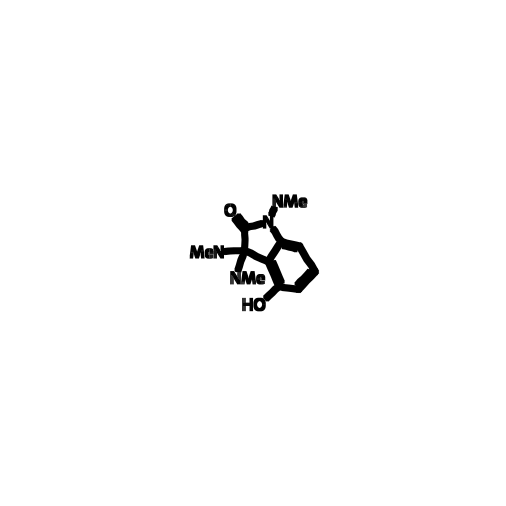 CNN1C(=O)C(NC)(NC)c2c(O)cccc21